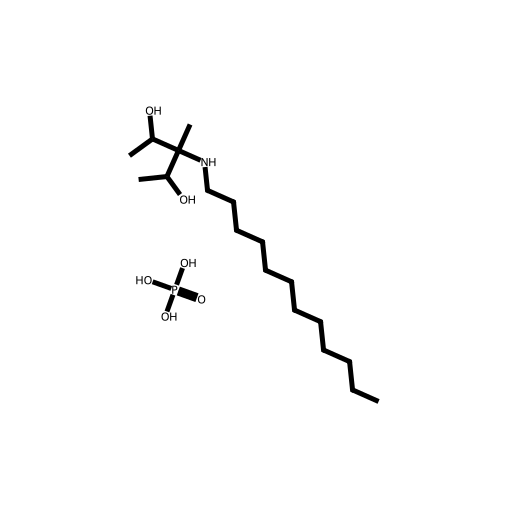 CCCCCCCCCCCCNC(C)(C(C)O)C(C)O.O=P(O)(O)O